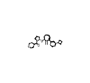 O=C(C1CCOCC1)N1CCC[C@@H]1OC1=CC=CC=C(C2CCCC(C3CCC3)C2)N1